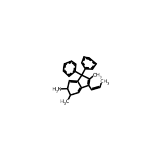 C/C=C\C1=C(C)C(c2ccccc2)(c2ccccc2)C2=CC(N)C(C)C=C21